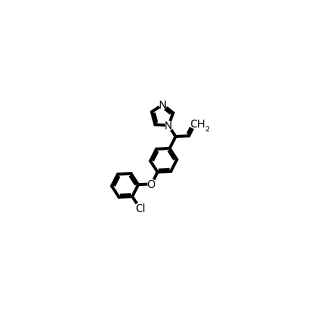 C=CC(c1ccc(Oc2ccccc2Cl)cc1)n1ccnc1